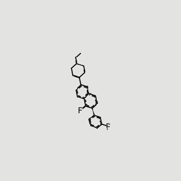 CCC1CCC(c2ccc3c(F)c(-c4cccc(F)c4)ccc3c2)CC1